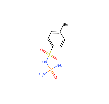 CC(C)(C)c1ccc(S(=O)(=O)NP(N)(N)=O)cc1